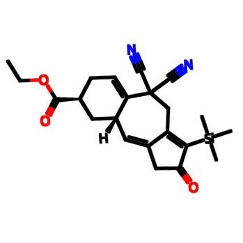 CCOC(=O)[C@H]1CC=C2[C@H](C=C3CC(=O)C([Si](C)(C)C)=C3CC2(C#N)C#N)C1